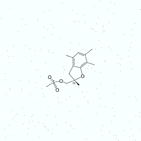 Cc1cc(C)c2c(c1C)O[C@](C)(COS(C)(=O)=O)C2